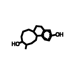 CC1CCC2c3ccc(O)cc3CCC2CCCC1O